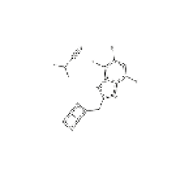 CC(C)C#N.Fc1cc(F)c2sc(Cc3cc4cnc3-4)nc2c1F